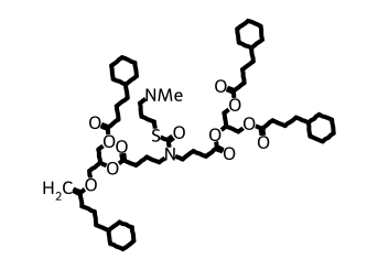 C=C(CCCC1CCCCC1)OCC(COC(=O)CCCC1CCCCC1)OC(=O)CCCN(CCCC(=O)OC(COC(=O)CCCC1CCCCC1)COC(=O)CCCC1CCCCC1)C(=O)SCCCNC